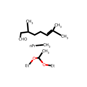 CC(C)=CCCC(C)CC=O.CCCC.CCOC(C)OCC